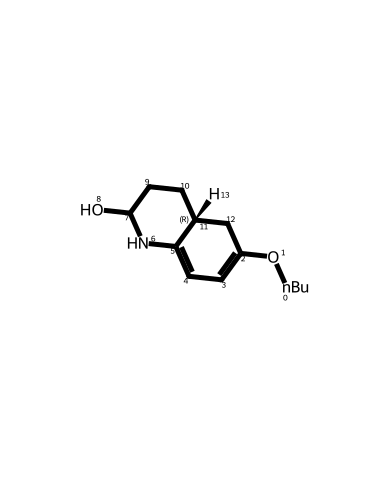 CCCCOC1=CC=C2NC(O)CC[C@@H]2C1